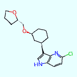 Clc1ccc2[nH]cc([C@@H]3CCC[C@H](OC[C@@H]4CCCO4)C3)c2n1